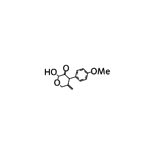 C=C1COC(O)C(=O)C1c1ccc(OC)cc1